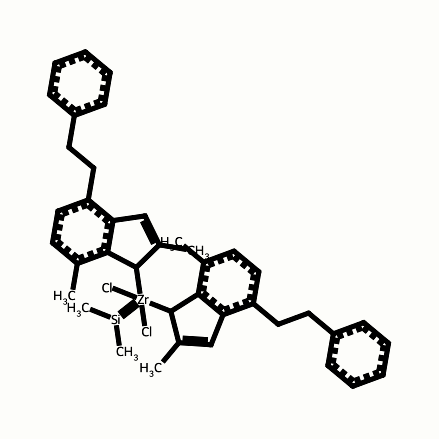 CC1=Cc2c(CCc3ccccc3)ccc(C)c2[CH]1[Zr]([Cl])([Cl])([CH]1C(C)=Cc2c(CCc3ccccc3)ccc(C)c21)=[Si](C)C